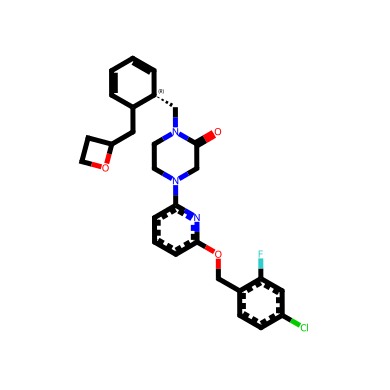 O=C1CN(c2cccc(OCc3ccc(Cl)cc3F)n2)CCN1C[C@H]1C=CC=CC1CC1CCO1